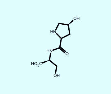 O=C(N[C@@H](CO)C(=O)O)C1C[C@H](O)CN1